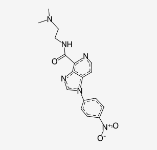 CN(C)CCNC(=O)c1nccc2c1ncn2-c1ccc([N+](=O)[O-])cc1